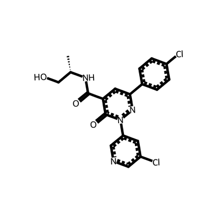 C[C@@H](CO)NC(=O)c1cc(-c2ccc(Cl)cc2)nn(-c2cncc(Cl)c2)c1=O